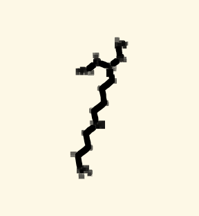 CCCO[SiH](CCCCNCCCN)OCCC